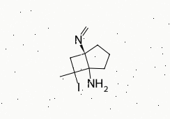 C=N[C@@]12CCCC1(N)C(C)(I)C2